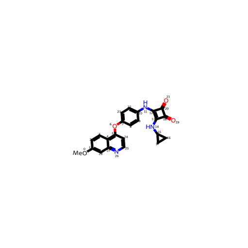 COc1ccc2c(Oc3ccc(Nc4c(NC5CC5)c(=O)c4=O)cc3)ccnc2c1